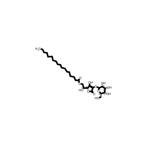 CCCCCCCCCCCCCCCCCC(=O)OC[C@H](O)[C@H]1OC(=O)C(OC2O[C@H](CO)[C@@H](O)[C@H](O)[C@H]2O)=C1O